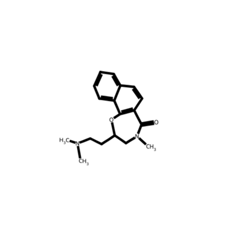 CN(C)CCC1CN(C)C(=O)c2ccc3ccccc3c2O1